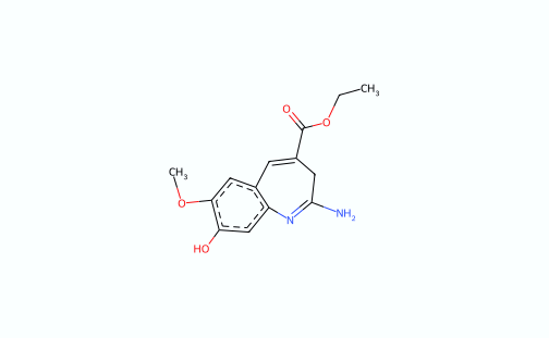 CCOC(=O)C1=Cc2cc(OC)c(O)cc2N=C(N)C1